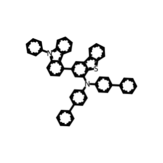 c1ccc(-c2ccc(N(c3ccc(-c4ccccc4)cc3)c3cc(-c4cccc5c4c4ccccc4n5-c4ccccc4)cc4c3sc3ccccc34)cc2)cc1